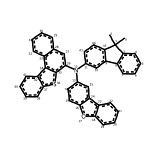 CC1(C)c2ccccc2-c2cc(N(c3ccc4oc5ccccc5c4c3)c3cc4ccccc4c4c3sc3ccccc34)ccc21